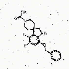 CC(C)(C)C(=O)N1CCC2(CC1)CNc1c(OCc3ccccc3)cc(F)c(F)c12